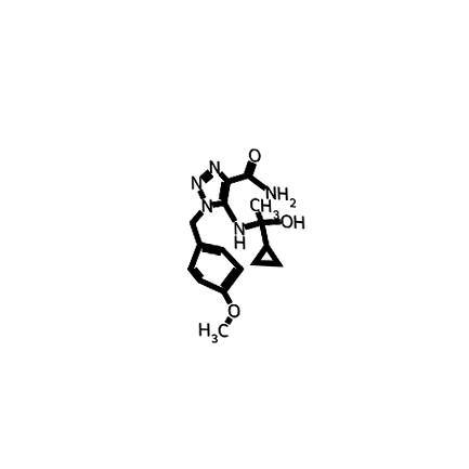 COc1ccc(Cn2nnc(C(N)=O)c2NC(C)(O)C2CC2)cc1